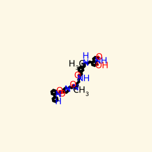 C[C@H](Cc1cccc(CC(=O)NCCCCN(C)C(=O)CCN2CCC(OC(=O)Nc3ccccc3-c3ccccc3)CC2)c1)NCCc1ccc(O)c2[nH]c(=O)ccc12